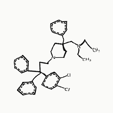 CCN(CC)CC1(c2ccccc2)CCN(CCC(c2ccccc2)(c2ccccc2)c2ccc(Cl)c(Cl)c2)CC1